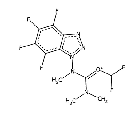 CN(C)C(=[O+]C(F)F)N(C)n1nnc2c(F)c(F)c(F)c(F)c21